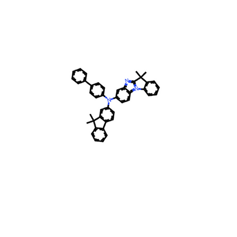 CC1(C)c2ccccc2-c2ccc(N(c3ccc(-c4ccccc4)cc3)c3ccc4c(c3)nc3n4-c4ccccc4C3(C)C)cc21